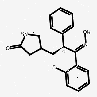 O=C1CC(C[C@H](C(=NO)c2ccccc2F)c2ccccc2)CN1